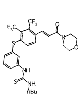 CCCCNC(=S)Nc1cccc(Sc2ccc(C=CC(=O)N3CCOCC3)c(C(F)(F)F)c2C(F)(F)F)c1